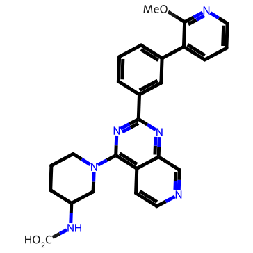 COc1ncccc1-c1cccc(-c2nc(N3CCCC(NC(=O)O)C3)c3ccncc3n2)c1